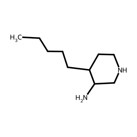 CCCCCC1CCNCC1N